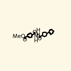 COC(=O)c1ccc(C(=O)NNC(=O)C2CCC(c3ccccc3)CC2)cc1